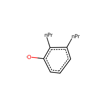 CCCc1cccc([O])c1CCC